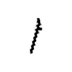 CCCCCCCCCCCCC(=O)CCC#N